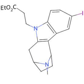 CCOC(=O)CCn1c2c(c3cc(I)ccc31)C1CCC(C2)N1C